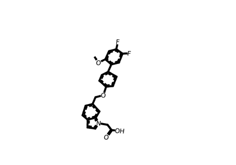 COc1cc(F)c(F)cc1-c1ccc(OCc2ccc3ccn(CC(=O)O)c3c2)cc1